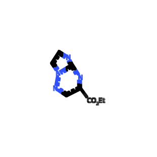 CCOC(=O)c1cnn2ccnc2n1